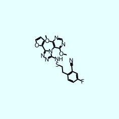 COc1ncnc(OC)c1-n1c(NSCCc2ccc(F)cc2C#N)nnc1-c1ccco1